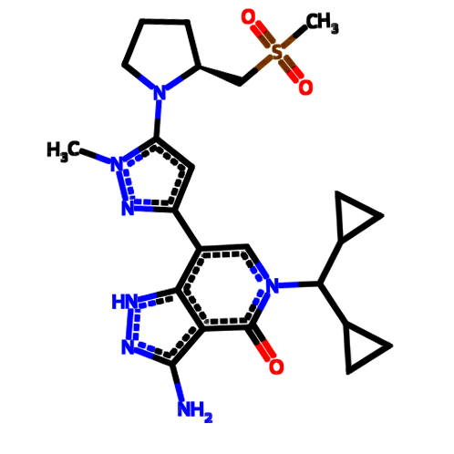 Cn1nc(-c2cn(C(C3CC3)C3CC3)c(=O)c3c(N)n[nH]c23)cc1N1CCC[C@H]1CS(C)(=O)=O